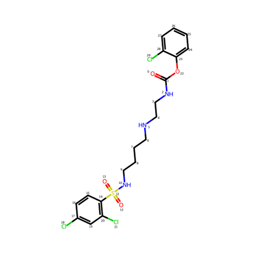 O=C(NCCNCCCCNS(=O)(=O)c1ccc(Cl)cc1Cl)Oc1ccccc1Cl